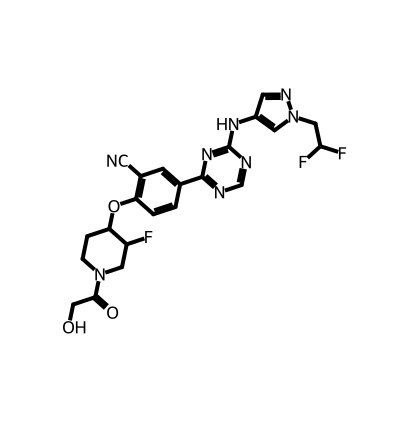 N#Cc1cc(-c2ncnc(Nc3cnn(CC(F)F)c3)n2)ccc1OC1CCN(C(=O)CO)CC1F